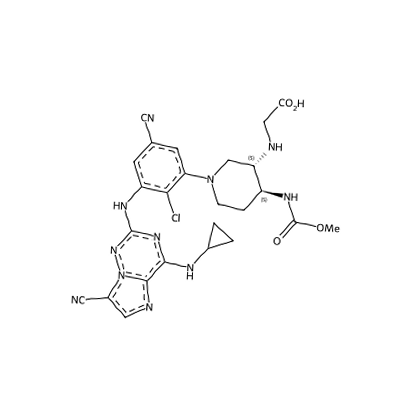 COC(=O)N[C@H]1CCN(c2cc(C#N)cc(Nc3nc(NC4CC4)c4ncc(C#N)n4n3)c2Cl)C[C@@H]1NCC(=O)O